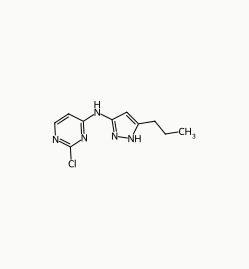 CCCc1cc(Nc2ccnc(Cl)n2)n[nH]1